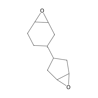 C1CC2OC2C[C]1C1CC2OC2C1